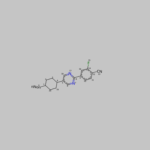 CCCCCCCCCC1CCC(c2cnc(-c3ccc(C#N)c(F)c3)nc2)CC1